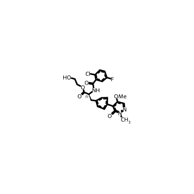 COc1cnn(C)c(=O)c1-c1ccc(C[C@H](NC(=O)c2cc(F)ccc2Cl)C(=O)OCCO)cc1